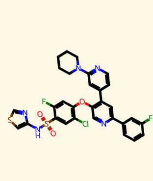 O=S(=O)(Nc1cscn1)c1cc(Cl)c(Oc2cnc(-c3cccc(F)c3)cc2-c2ccnc(N3CCCCC3)c2)cc1F